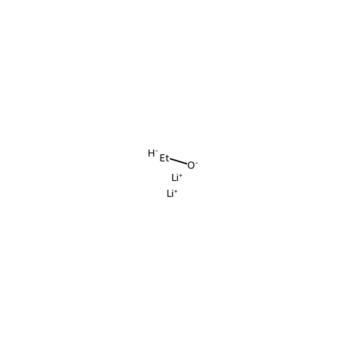 CC[O-].[H-].[Li+].[Li+]